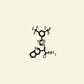 NC(=O)/C(=C/n1cnc(-c2cc(C(F)(F)F)cc(C(F)(F)F)c2)n1)c1cnc2ccccc2c1